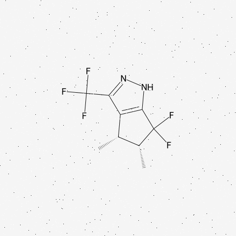 C[C@@H]1c2c(C(F)(F)F)n[nH]c2C(F)(F)[C@@H]1C